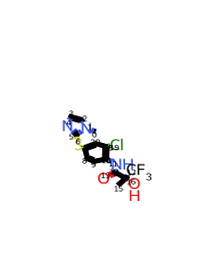 Cn1ccnc1Sc1ccc(NC(=O)C(C)(O)C(F)(F)F)c(Cl)c1